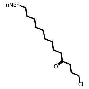 CCCCCCCCCCCCCCCCCCC(=O)CCCCl